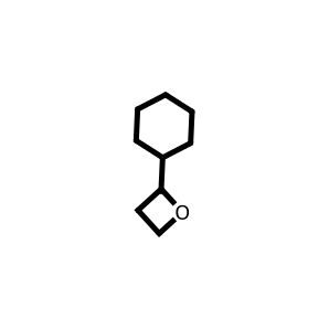 C1CCC([C]2CCO2)CC1